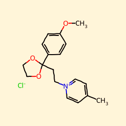 COc1ccc(C2(CC[n+]3ccc(C)cc3)OCCO2)cc1.[Cl-]